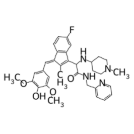 COc1cc(C=C2C(C)=C(C(NC3CCN(C)CC3)C(=O)NCc3ccccn3)c3cc(F)ccc32)cc(OC)c1O